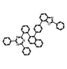 c1ccc(-c2nc(-c3ccccc3)nc(-c3ccccc3-c3ccc4ccccc4c3-c3ccc(-c4cccc5nc(-c6ccccc6)oc45)cc3)n2)cc1